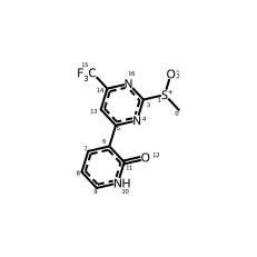 C[S+]([O-])c1nc(-c2ccc[nH]c2=O)cc(C(F)(F)F)n1